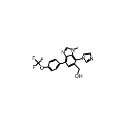 Cn1cnc2c(-c3ccc(OC(F)(F)F)cc3)cc(CO)c(-n3ccnc3)c21